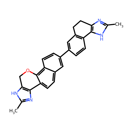 Cc1nc2c([nH]1)COc1c-2ccc2cc(-c3ccc4c(c3)CCc3nc(C)[nH]c3-4)ccc12